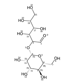 O=CC(O[C@@H]1O[C@H](CO)[C@@H](O)[C@H](O)[C@@H]1O)C(O)C(O)C(O)CO